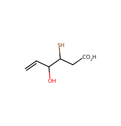 C=CC(O)C(S)CC(=O)O